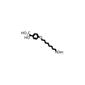 CCCCCCCCCCCCCCCCCCOc1ccc(C(O)C(=O)O)cc1